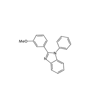 COc1cccc(-c2nc3ccccc3n2-c2ccccc2)c1